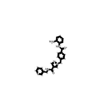 Nc1ccccc1NC(=O)c1ccc(Cn2cc(C(=O)NCc3cccnc3)cn2)cc1